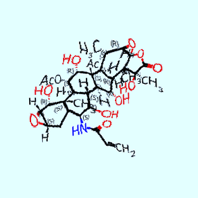 C=CC(=O)N[C@H]1C2C[C@@H]3O[C@@H]3[C@H](O)[C@]2(C)[C@H]2[C@H](OC(C)=O)[C@H](O)[C@@]3(C(C)=O)[C@@H]([C@@H](O)[C@@H]4[C@@H]3[C@H](C)[C@H]3O[C@]35OC(=O)[C@@](C)(O)[C@]45C)[C@@H]2[C@H]1O